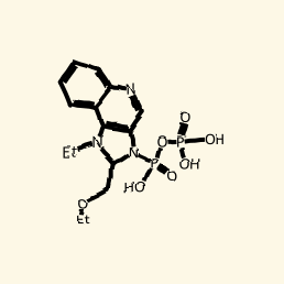 CCOCC1N(CC)c2c(cnc3ccccc23)N1P(=O)(O)OP(=O)(O)O